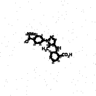 CNC(=O)c1ccc(-n2ncc(Nc3cnccc3C(=O)O)c2C)cc1